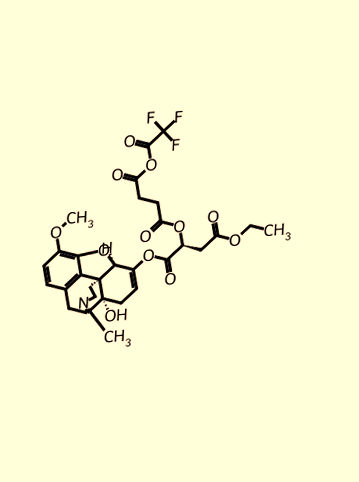 CCOC(=O)C[C@H](OC(=O)CCC(=O)OC(=O)C(F)(F)F)C(=O)OC1=CC[C@@]2(O)C3Cc4ccc(OC)c5c4[C@@]2(CCN3C)[C@H]1O5